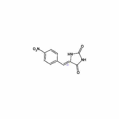 O=C1NC(=O)/C(=C/c2ccc([N+](=O)[O-])cc2)N1